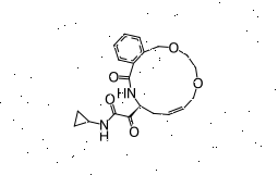 O=C(NC1CC1)C(=O)[C@@H]1C/C=C\COCCOCc2ccccc2C(=O)N1